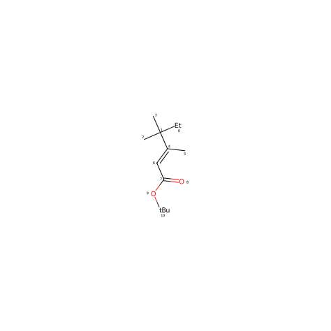 CCC(C)(C)/C(C)=C/C(=O)OC(C)(C)C